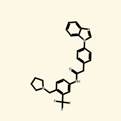 O=C(Cc1ccc(-n2cnc3ccccc32)cc1)Nc1ccc(CN2CCCC2)c(C(F)(F)F)c1